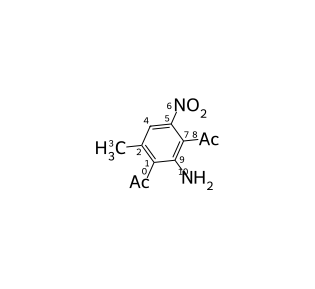 CC(=O)c1c(C)cc([N+](=O)[O-])c(C(C)=O)c1N